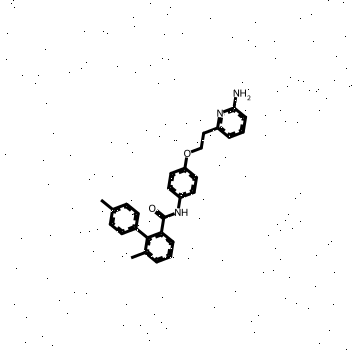 Cc1ccc(-c2c(C)cccc2C(=O)Nc2ccc(OCCc3cccc(N)n3)cc2)cc1